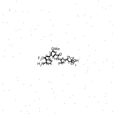 COc1cc(C(=O)N[C@@H]2CN(C(=O)CC(O)(C(F)(F)F)C(F)(F)F)C[C@@H]2F)cc(-c2cc(C(F)(F)F)c3c(N)ncnn23)c1